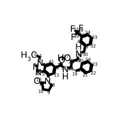 CCn1nnc2c(N3CCCC3=O)cc(C(=O)N[C@@H](Cc3ccccc3)[C@@H](O)CNCc3cccc(C(F)(F)F)c3)cc21